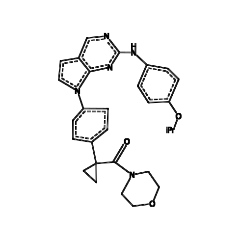 CC(C)Oc1ccc(Nc2ncc3ccn(-c4ccc(C5(C(=O)N6CCOCC6)CC5)cc4)c3n2)cc1